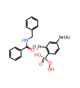 CC(=O)Nc1ccc([As](=O)(O)OO)c([N+](=O)[O-])c1.O=C(NCc1ccccc1)c1ccccc1